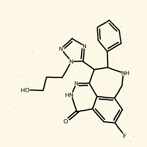 O=c1[nH]nc2c3c(cc(F)cc13)CNC(c1ccccc1)C2c1ncnn1CCCO